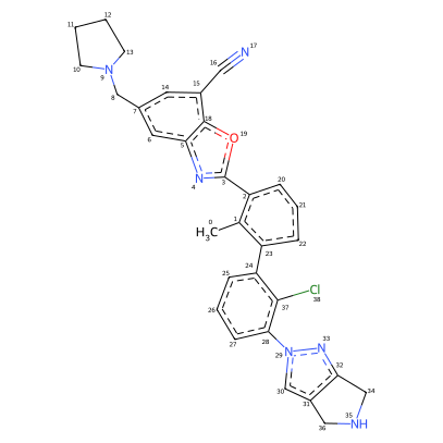 Cc1c(-c2nc3cc(CN4CCCC4)cc(C#N)c3o2)cccc1-c1cccc(-n2cc3c(n2)CNC3)c1Cl